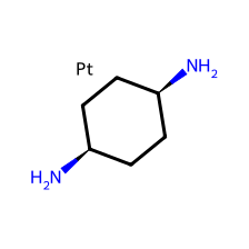 N[C@H]1CC[C@@H](N)CC1.[Pt]